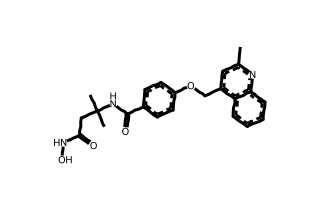 Cc1cc(COc2ccc(C(=O)NC(C)(C)CC(=O)NO)cc2)c2ccccc2n1